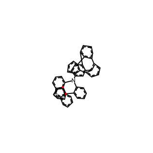 c1ccc(-c2ccccc2N(c2ccc3c(c2)-c2c4cccc2-c2cccc-3c2-c2ccccc2-4)c2cccc3oc4ccccc4c23)cc1